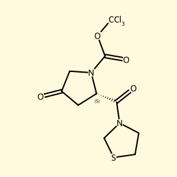 O=C1C[C@@H](C(=O)N2CCSC2)N(C(=O)OC(Cl)(Cl)Cl)C1